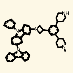 CN1CCC(c2cc(C3CCNCC3)cc(C3CN(c4ccc5c(c4)c4cc(-n6c7ccccc7c7ccccc76)ccc4n5-c4ccccc4)C3)c2)CC1